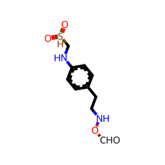 O=CONCCc1ccc(NC[SH](=O)=O)cc1